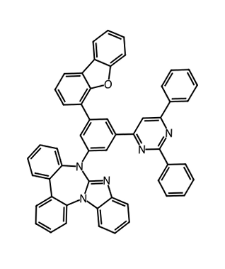 c1ccc(-c2cc(-c3cc(-c4cccc5c4oc4ccccc45)cc(N4c5ccccc5-c5ccccc5-n5c4nc4ccccc45)c3)nc(-c3ccccc3)n2)cc1